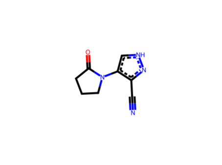 N#Cc1n[nH]cc1N1CCCC1=O